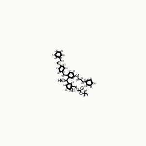 CC(C)(C)OC(=O)NCc1cccc(C(O)c2cc(OCCCc3ccccc3)ccc2Cc2ccc(OCc3ccccc3)cc2)c1